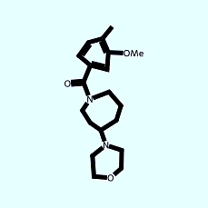 COc1cc(C(=O)N2CCCC(N3CCOCC3)CC2)ccc1C